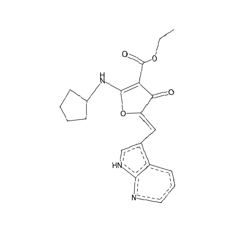 CCOC(=O)C1=C(NC2CCCC2)OC(=Cc2c[nH]c3ncccc23)C1=O